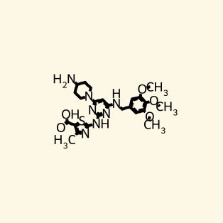 COc1cc(CNc2cc(N3CCC(N)CC3)nc(Nc3nc(C)c(C(=O)O)s3)n2)cc(OC)c1OC